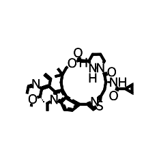 C=C/C(=C(\N=C/C)[C@H](C)OC)c1c2c3cc(ccc3n1CC)-c1csc(n1)C[C@H](NC(=O)C1CC1)C(=O)N1CCC[C@H](N1)C(=O)OCC(C)(C)C2